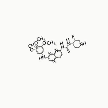 COc1cc(Nc2cnc3ccc(NC(=S)NC4CCNCC4F)nc3n2)cc(OC)c1OC